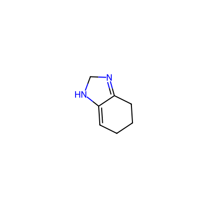 C1=C2NCN=C2CCC1